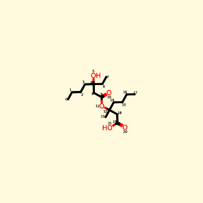 CCCCC(O)(CC)CC(=O)OC(C)(CCCC)CC(=O)O